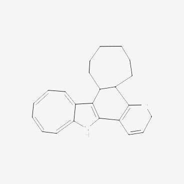 C1=CC2=C(OC1)C1CCCCCCC1c1c2[nH]c2/c1=C\C=C/C=C\C=2